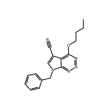 CCCCOc1nnnc2c1c(C#N)cn2Cc1ccccc1